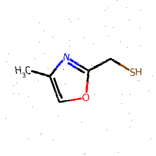 Cc1coc(CS)n1